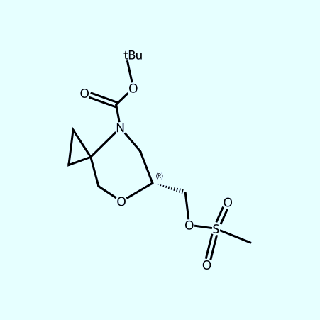 CC(C)(C)OC(=O)N1C[C@H](COS(C)(=O)=O)OCC12CC2